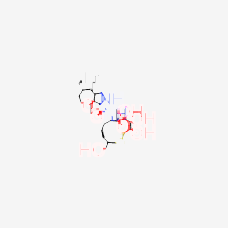 CC(C)C[C@@H]1CCO[C@@H]2[C@H](CN[C@@H]2C(=O)N[C@@H]2C/C=C\C(CO)CSC3O[C@H]2[C@@H](O)C(O)[C@H]3O)C1